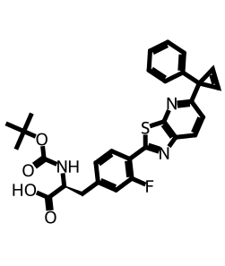 CC(C)(C)OC(=O)N[C@@H](Cc1ccc(-c2nc3ccc(C4(c5ccccc5)C=C4)nc3s2)c(F)c1)C(=O)O